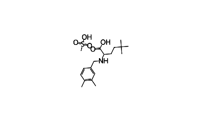 CS(=O)(=O)O.Cc1ccc(CNC(CCC(C)(C)C)C(=O)O)cc1C